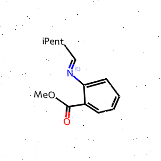 CCCC(C)/C=N/c1ccccc1C(=O)OC